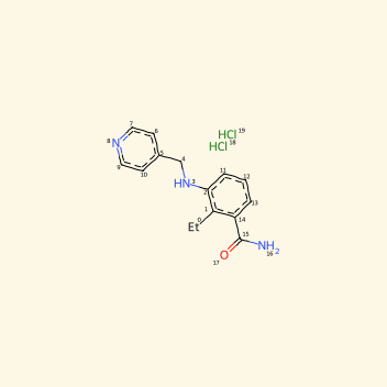 CCc1c(NCc2ccncc2)cccc1C(N)=O.Cl.Cl